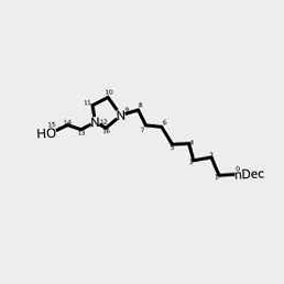 CCCCCCCCCCCCCCCCCCN1CCN(CCO)C1